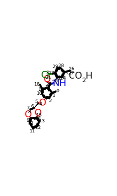 Cc1cc(OC[C@@H]2COc3ccccc3O2)cc(C)c1C(=O)Nc1cc(CC(=O)O)ccc1Cl